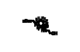 CCCCCCCCCCCCC1(F)C(F)(F)C(F)(F)C(F)(S(=O)(=O)NCCO)C(F)(F)C1(F)F